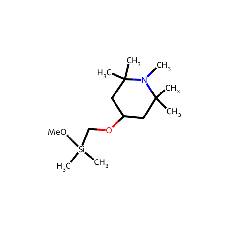 CO[Si](C)(C)COC1CC(C)(C)N(C)C(C)(C)C1